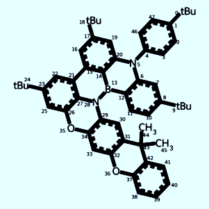 CC(C)(C)c1ccc(N2c3cc(C(C)(C)C)ccc3B3c4c(cc(C(C)(C)C)cc42)-c2cc(C(C)(C)C)cc4c2N3c2cc3c(cc2O4)Oc2ccccc2C3(C)C)cc1